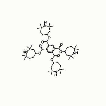 CC1(C)CCC(OC(=O)c2cc(C(=O)OC3CCC(C)(C)NC(C)(C)C3)c(C(=O)OC3CCC(C)(C)NC(C)(C)C3)cc2C(=O)OC2CCC(C)(C)NC(C)(C)C2)CC(C)(C)N1